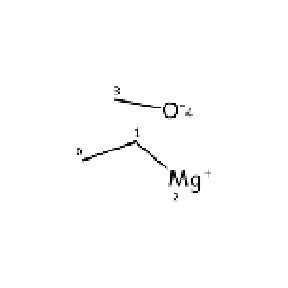 C[CH2][Mg+].C[O-]